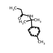 CCC(=O)NC(C)(C)c1ccc(C)cc1